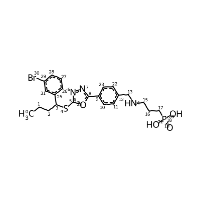 CCCC(Sc1nnc(-c2ccc(CNCCCP(=O)(O)O)cc2)o1)c1cccc(Br)c1